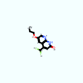 CC(C)CCOc1cnc2[nH]c(=O)cc(C(F)F)c2c1